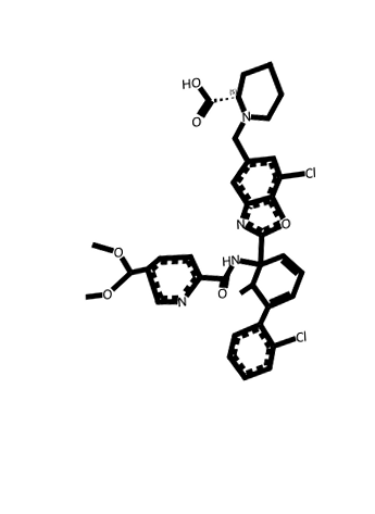 COC(OC)c1ccc(C(=O)NC2(c3nc4cc(CN5CCCC[C@H]5C(=O)O)cc(Cl)c4o3)C=CC=C(c3ccccc3Cl)C2C)nc1